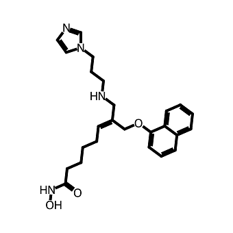 O=C(CCCC/C=C(/CNCCCn1ccnc1)COc1cccc2ccccc12)NO